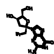 CC(C)C[C@]1(n2cnc3c(=O)[nH]c(N)nc32)C[C@H](O)[C@@H](CO)O1